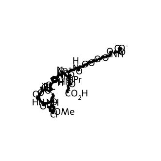 COc1ccc(C[C@H]2NC(=O)/C=C/C[C@@H]([C@H](C)[C@H]3O[C@@H]3c3ccc(CNC(=O)[C@H](CCCCNC(=O)CCOCCOCCOCCOCCC(=O)NCCS(=O)(=O)[O-])NC(=O)[C@@H](NC(=O)CCCC(=O)O)C(C)C)cc3)OC(=O)[C@H](CC(C)C)OC(=O)C(C)(C)CNC2=O)cc1Cl.[Na+]